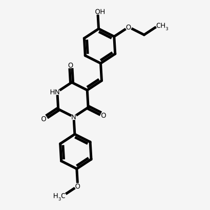 CCOc1cc(C=C2C(=O)NC(=O)N(c3ccc(OC)cc3)C2=O)ccc1O